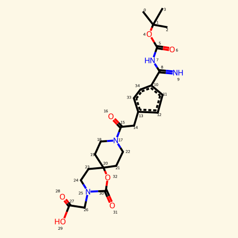 CC(C)(C)OC(=O)NC(=N)c1ccc(CC(=O)N2CCC3(CC2)CCN(CC(=O)O)C(=O)O3)cc1